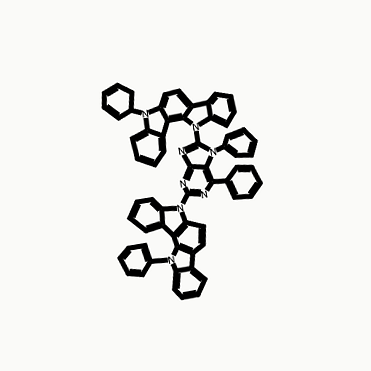 C1=CCC(n2c3ccccc3c3c4c(ccc32)c2ccccc2n4-c2nc3nc(-n4c5ccccc5c5c4ccc4c6ccccc6n(-c6ccccc6)c45)nc(-c4ccccc4)c3n2-c2ccccc2)C=C1